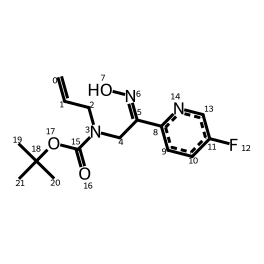 C=CCN(CC(=NO)c1ccc(F)cn1)C(=O)OC(C)(C)C